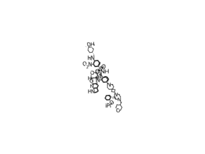 CC(C)Oc1ccccc1[C@H]1CN(CC2CCOCC2)CCN1C1CC2(CCN(c3ccc(C(=O)NS(=O)(=O)c4ccc(NC[C@H]5CC[C@](C)(O)CC5)c([N+](=O)[O-])c4)c(N4c5cc6cc[nH]c6nc5O[C@H]5COCC[C@@H]54)c3)CC2)C1